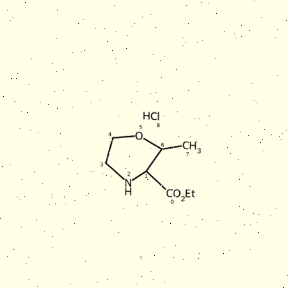 CCOC(=O)C1NCCOC1C.Cl